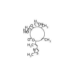 C/C1=C/CC(/C(C)=C/c2csc(C)n2)OC(=O)C[C@H](O)C(C)(C)C(=O)[C@H](C)[C@@H](O)[C@@H](C)CCC1